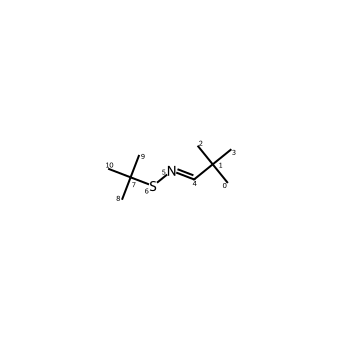 CC(C)(C)C=NSC(C)(C)C